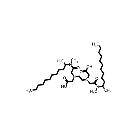 CCCCCCCCCCC(C)N(C)C(=O)CN(CCN(CC(=O)O)CC(=O)N(C)C(C)CCCCCCCCCC)CC(=O)O